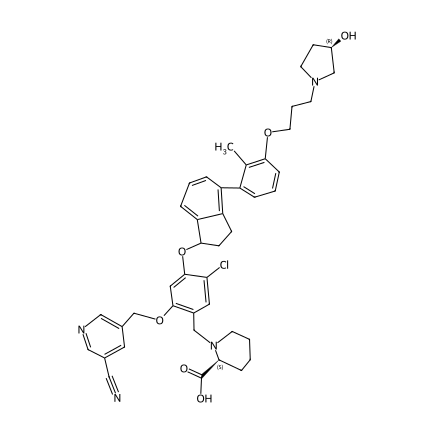 Cc1c(OCCCN2CC[C@@H](O)C2)cccc1-c1cccc2c1CCC2Oc1cc(OCc2cncc(C#N)c2)c(CN2CCCC[C@H]2C(=O)O)cc1Cl